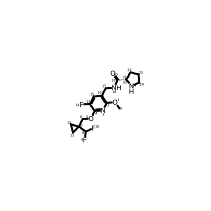 COc1nc(OCC2(C(F)F)CC2)c(F)cc1CNC(=O)[C@@H]1CCCN1